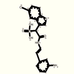 Nc1cccc(C=CNC(=O)C(c2csc3ccc(Cl)cc23)P(=O)(O)O)c1